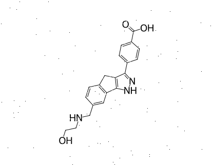 O=C(O)c1ccc(-c2n[nH]c3c2Cc2ccc(CNCCO)cc2-3)cc1